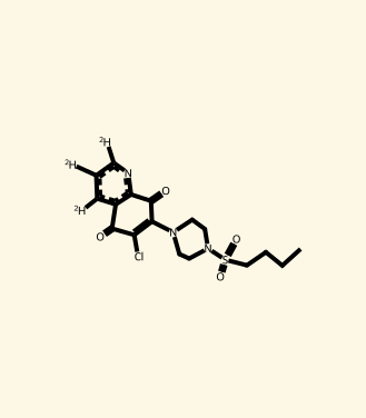 [2H]c1nc2c(c([2H])c1[2H])C(=O)C(Cl)=C(N1CCN(S(=O)(=O)CCCC)CC1)C2=O